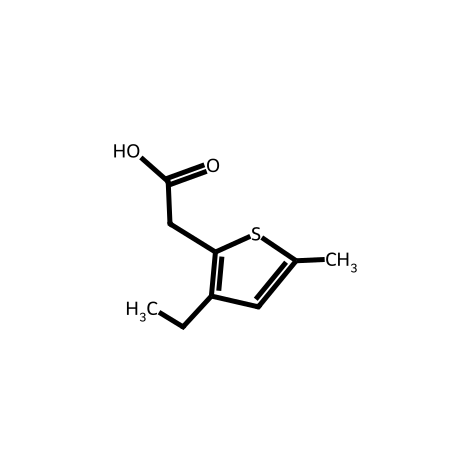 CCc1cc(C)sc1CC(=O)O